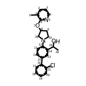 Cc1cccnc1OC1CCN(c2ccc(-c3ccccc3Cl)cc2C(C)O)C1